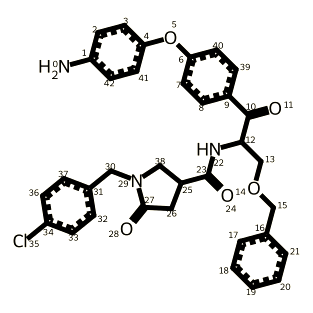 Nc1ccc(Oc2ccc(C(=O)C(COCc3ccccc3)NC(=O)C3CC(=O)N(Cc4ccc(Cl)cc4)C3)cc2)cc1